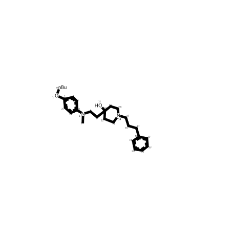 CCCCOc1ccc(N(C)CCC2(O)CCN(CCCc3ccccc3)CC2)cc1